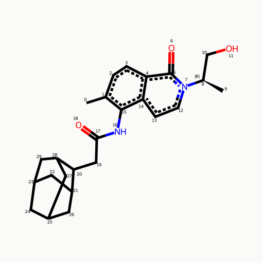 Cc1ccc2c(=O)n([C@H](C)CO)ccc2c1NC(=O)CC1C2CC3CC(C2)CC1C3